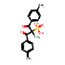 Cc1ccc(C(=O)C(C)(C(=O)c2ccc(C)cc2)P(=O)(O)O)cc1